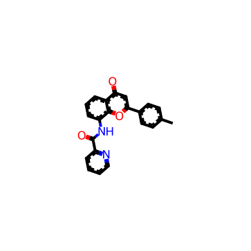 Cc1ccc(-c2cc(=O)c3cccc(NC(=O)c4ccccn4)c3o2)cc1